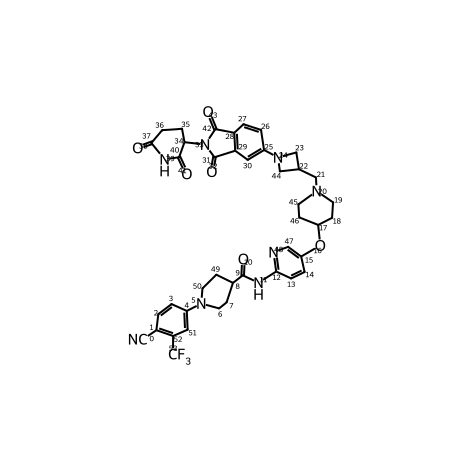 N#Cc1ccc(N2CCC(C(=O)Nc3ccc(OC4CCN(CC5CN(c6ccc7c(c6)C(=O)N(C6CCC(=O)NC6=O)C7=O)C5)CC4)cn3)CC2)cc1C(F)(F)F